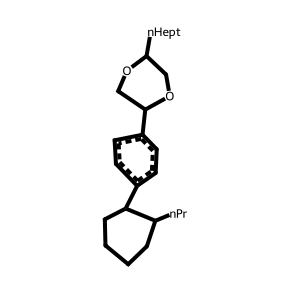 CCCCCCCC1COC(c2ccc(C3CCCCC3CCC)cc2)CO1